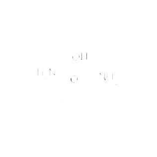 CON.NO